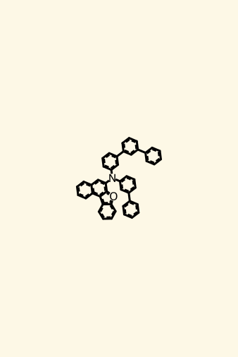 c1ccc(-c2cccc(-c3cccc(N(c4cccc(-c5ccccc5)c4)c4cc5ccccc5c5c4oc4ccccc45)c3)c2)cc1